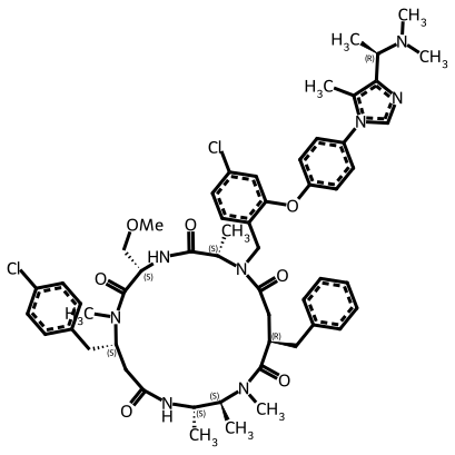 COC[C@@H]1NC(=O)[C@H](C)N(Cc2ccc(Cl)cc2Oc2ccc(-n3cnc([C@@H](C)N(C)C)c3C)cc2)C(=O)C[C@@H](Cc2ccccc2)C(=O)N(C)[C@@H](C)[C@H](C)NC(=O)C[C@H](Cc2ccc(Cl)cc2)N(C)C1=O